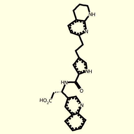 O=C(O)C[C@H](NC(=O)c1cc(CCc2ccc3c(n2)NCCC3)c[nH]1)c1cnc2ccccc2c1